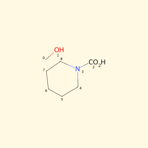 CO.O=C(O)N1CCCCC1